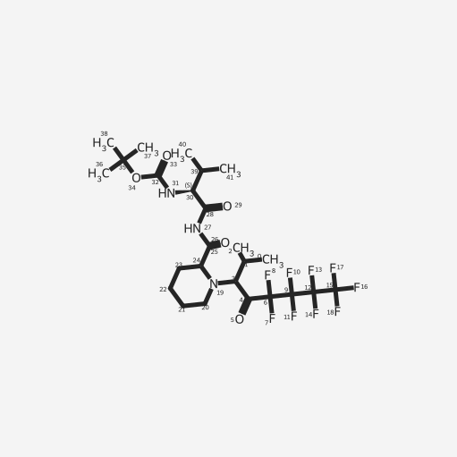 CC(C)C(C(=O)C(F)(F)C(F)(F)C(F)(F)C(F)(F)F)N1CCCCC1C(=O)NC(=O)[C@@H](NC(=O)OC(C)(C)C)C(C)C